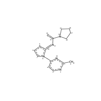 Cc1nccc(-n2ccs/c2=N\C(=O)N2CCCC2)n1